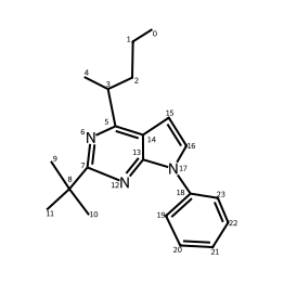 CCCC(C)c1nc(C(C)(C)C)nc2c1ccn2-c1ccccc1